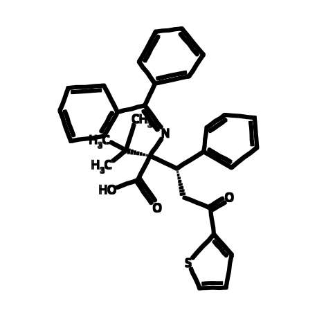 CC(C)(C)[C@@](N=C(c1ccccc1)c1ccccc1)(C(=O)O)[C@@H](CC(=O)c1cccs1)c1ccccc1